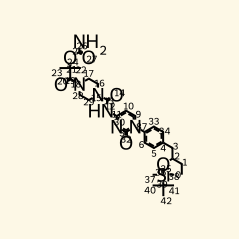 CCC(Cc1ccc(-n2ccc(NC(=O)N3CCN(C(=O)C(C)(C)OC(N)=O)CC3)nc2=O)cc1)O[Si](C)(C)C(C)(C)C